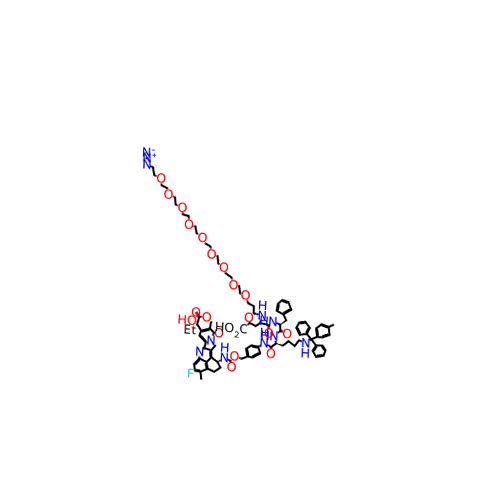 CC[C@@]1(O)C(=O)OCc2c1cc1n(c2=O)Cc2c-1nc1cc(F)c(C)c3c1c2[C@@H](NC(=O)OCc1ccc(NC(=O)[C@H](CCCCNC(c2ccccc2)(c2ccccc2)c2ccc(C)cc2)NC(=O)[C@H](Cc2ccccc2)NC(=O)C(CCC(=O)O)NC(=O)CCOCCOCCOCCOCCOCCOCCOCCOCCOCCN=[N+]=[N-])cc1)CC3